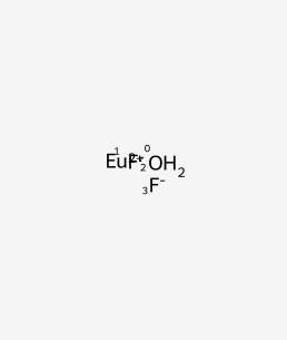 O.[Eu+2].[F-].[F-]